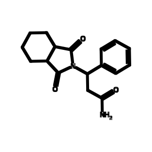 NC(=O)CC(c1ccccc1)N1C(=O)C2CCCCC2C1=O